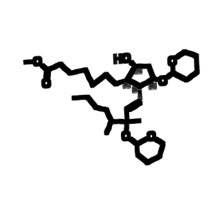 CCCCC(C)C(C)(C=C[C@@H]1[C@@H](CCCCCCC(=O)OC)[C@@H](O)C[C@H]1OC1CCCCO1)OC1CCCCO1